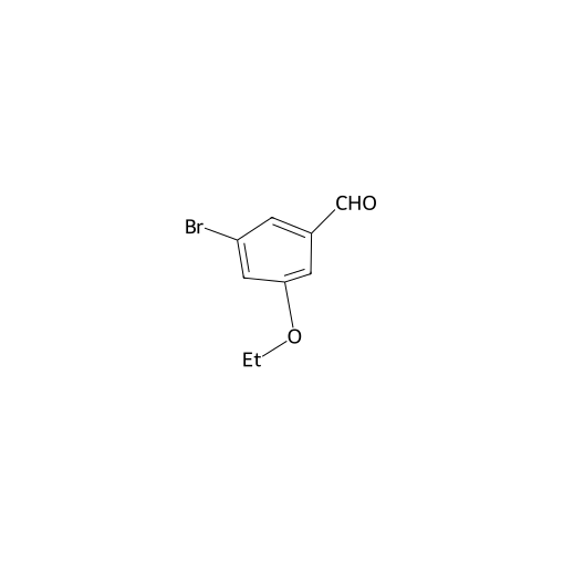 CCOc1cc(Br)cc(C=O)c1